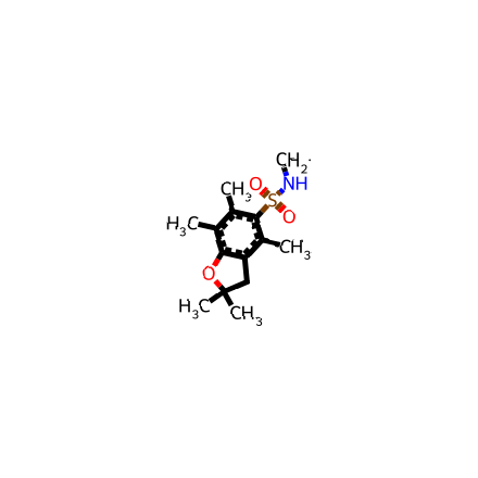 [CH2]NS(=O)(=O)c1c(C)c(C)c2c(c1C)CC(C)(C)O2